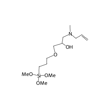 C=CCN(C)CC(O)COCCC[Si](OC)(OC)OC